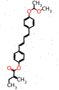 C=C(CC)C(=O)Oc1ccc(C=CC=Cc2ccc(OC(C)OC)cc2)cc1